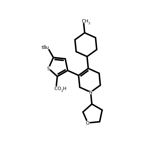 CC1CCC(C2=C(c3cc(C(C)(C)C)sc3C(=O)O)CN(C3CCOC3)CC2)CC1